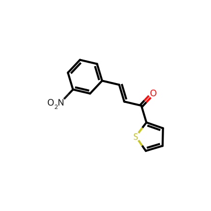 O=C(C=Cc1cccc([N+](=O)[O-])c1)c1cccs1